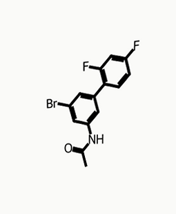 CC(=O)Nc1cc(Br)cc(-c2ccc(F)cc2F)c1